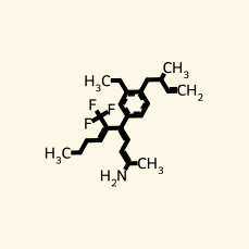 C=CC(C)Cc1ccc(C(=C/C=C(\C)N)/C(=C/CCC)C(F)(F)F)cc1CC